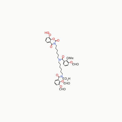 COc1c(OC=O)cccc1C(=O)N(CCCCCCN(C(=O)O)C(=O)c1cccc(OC=O)c1OC=O)CCCCCCn1c(=O)oc2c(OO)cccc2c1=O